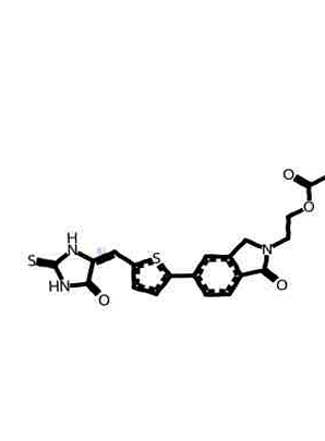 CC(=O)OCCN1Cc2cc(-c3ccc(/C=C4/NC(=S)NC4=O)s3)ccc2C1=O